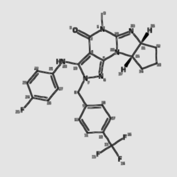 CN1C(=O)c2c(nn(Cc3ccc(C(F)(F)F)cc3)c2Nc2ccc(F)cc2)N2C1=N[C@@H]1CCC[C@@H]12